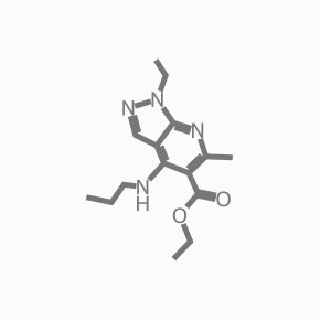 CCCNc1c(C(=O)OCC)c(C)nc2c1cnn2CC